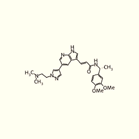 COc1ccc([C@@H](C)NC(=O)/C=C/c2c[nH]c3ncc(-c4cnn(CCN(C)C)c4)cc23)cc1OC